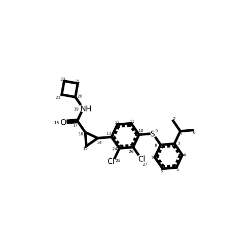 CC(C)c1ccccc1Sc1ccc(C2CC2C(=O)NC2CCC2)c(Cl)c1Cl